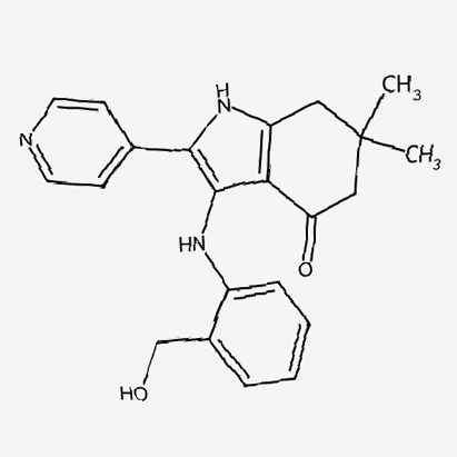 CC1(C)CC(=O)c2c([nH]c(-c3ccncc3)c2Nc2ccccc2CO)C1